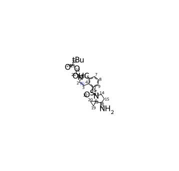 CN(/C=C\c1c(C=O)cccc1[S+]([O-])N1CCC(N)C12CC2)COC(=O)C(C)(C)C